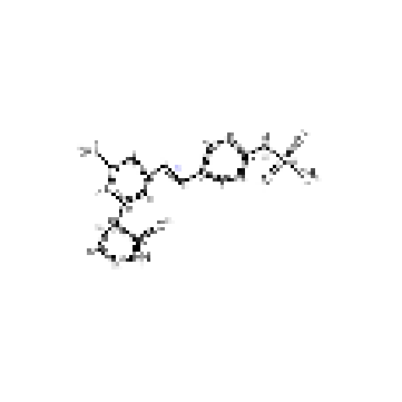 CC(C)(C)c1cc(/C=C/c2ccc(NS(C)(=O)=O)cc2)cc(-c2ccc[nH]c2=O)n1